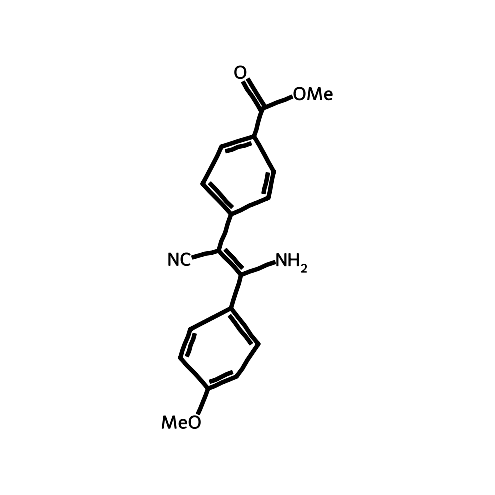 COC(=O)c1ccc(C(C#N)=C(N)c2ccc(OC)cc2)cc1